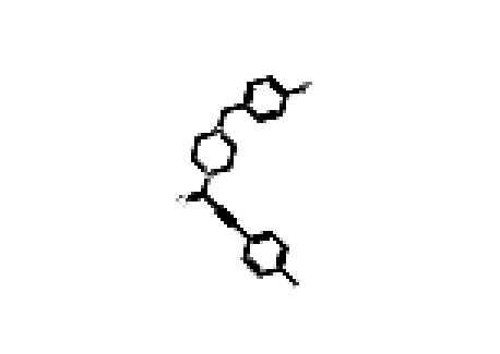 O=C(C#Cc1ccc(F)cc1)N1CCN(Cc2ccc(F)cc2)CC1